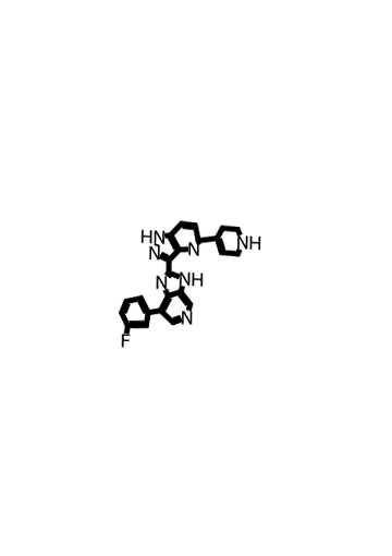 Fc1cccc(-c2cncc3[nH]c(-c4n[nH]c5ccc(C6=CCNCC6)nc45)nc23)c1